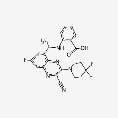 CC(Nc1ccccc1C(=O)O)c1cc(F)cc2nc(C#N)c(N3CCC(F)(F)CC3)nc12